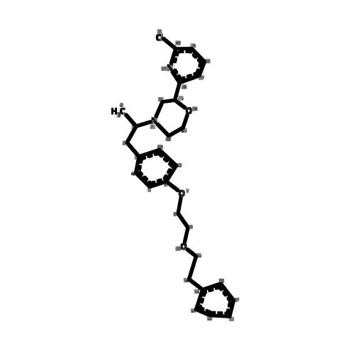 CC(Cc1ccc(OCCOCCc2ccccc2)cc1)N1CCOC(c2cccc(Cl)n2)C1